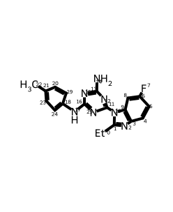 CCc1nc2ccc(F)cc2n1-c1nc(N)nc(Nc2ccc(C)cc2)n1